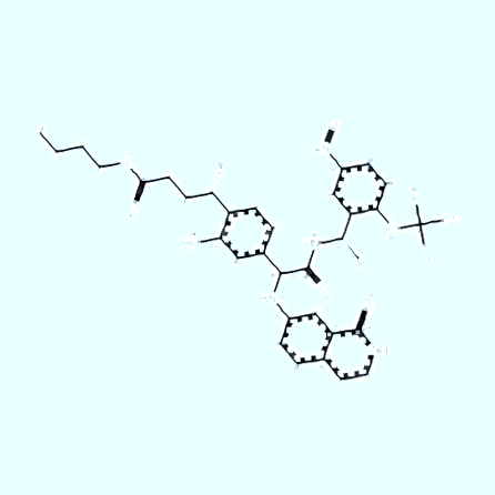 CCCCOC(=O)CC[C@H](C)c1ccc(C(Nc2ccc3cc[nH]c(=O)c3c2)C(=O)N[C@H](C)c2cc(N=O)ccc2OC(F)(F)F)cc1O